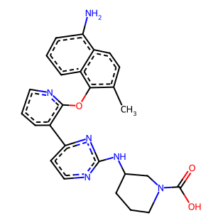 Cc1ccc2c(N)cccc2c1Oc1ncccc1-c1ccnc(NC2CCCN(C(=O)O)C2)n1